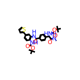 CNC(=O)C(NC(=O)OC(C)(C)C)c1ccc(C(=O)Nc2cc(-c3cccs3)ccc2NC(=O)OC(C)(C)C)cc1